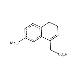 COc1ccc2c(c1)C(CC(=O)O)=CCC2